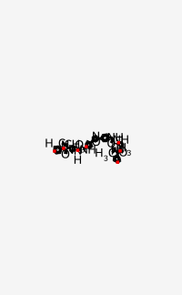 CN(C)[C@@H](C(=O)N1CC[C@@H](NC(=O)Nc2ccc(-c3cnc(-c4ccc(NC(=O)N[C@@H]5CCN(C(=O)[C@@H](c6ccccc6)N(C)C)C5)cc4)o3)cc2)C1)c1ccccc1